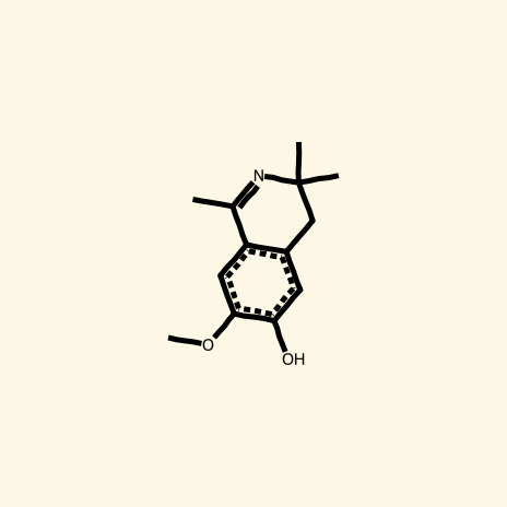 COc1cc2c(cc1O)CC(C)(C)N=C2C